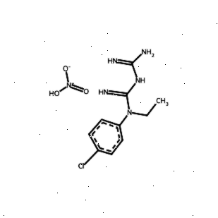 CCN(C(=N)NC(=N)N)c1ccc(Cl)cc1.O=[N+]([O-])O